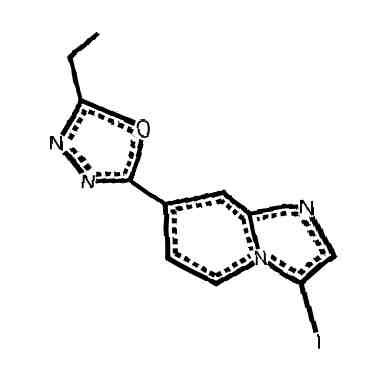 CCc1nnc(-c2ccn3c(I)cnc3c2)o1